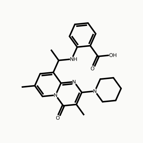 Cc1cc(C(C)Nc2ccccc2C(=O)O)c2nc(N3CCCCC3)c(C)c(=O)n2c1